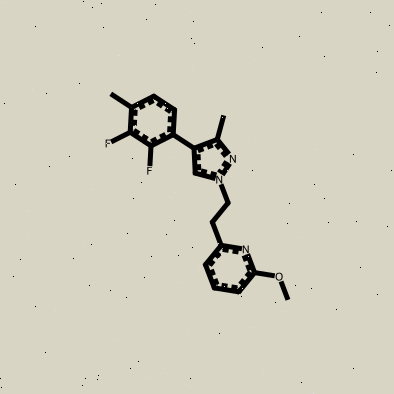 COc1cccc(CCn2cc(-c3ccc(C)c(F)c3F)c(C)n2)n1